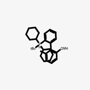 COc1cccc(C)c1-c1ccccc1[PH](C1CCCCC1)(C1CCCCC1)C(C)(C)C